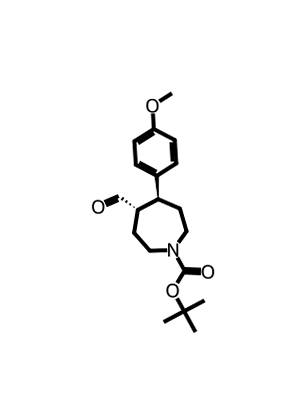 COc1ccc([C@H]2CCN(C(=O)OC(C)(C)C)CC[C@@H]2C=O)cc1